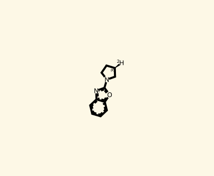 [2H][C@@H]1CCN(c2nc3ccccc3o2)C1